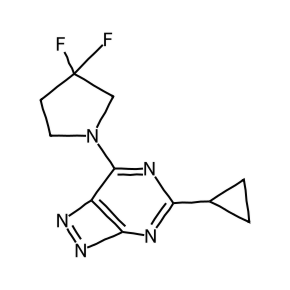 FC1(F)CCN(c2nc(C3CC3)nc3c2N=N3)C1